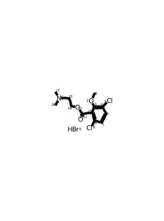 Br.COc1c(Cl)ccc(Cl)c1C(=O)OCCN(C)C